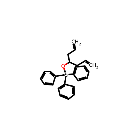 C=CCC(CC=C)O[Si](c1ccccc1)(c1ccccc1)c1ccccc1